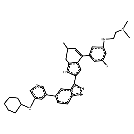 CC1C=C(c2cc(F)cc(NCCN(C)C)c2)c2cc(-c3n[nH]c4ccc(-c5cncc(OC6CCCCC6)c5)cc34)[nH]c2C1